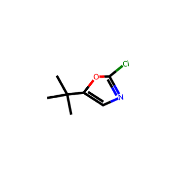 CC(C)(C)c1cnc(Cl)o1